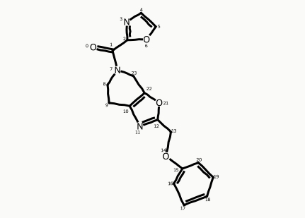 O=C(c1ncco1)N1CCc2nc(COc3ccccc3)oc2C1